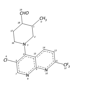 CC1CN(c2c(Cl)cnc3nc(C(F)(F)F)ccc23)CCC1C=O